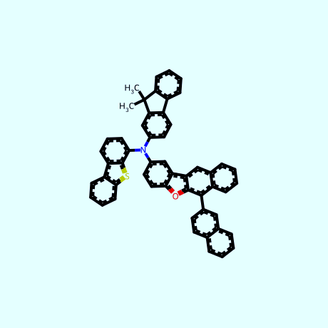 CC1(C)c2ccccc2-c2ccc(N(c3ccc4oc5c(-c6ccc7ccccc7c6)c6ccccc6cc5c4c3)c3cccc4c3sc3ccccc34)cc21